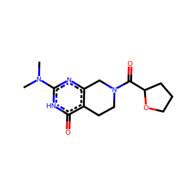 CN(C)c1nc2c(c(=O)[nH]1)CCN(C(=O)C1CCCO1)C2